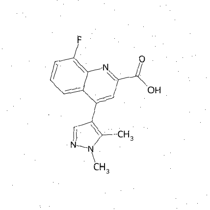 Cc1c(-c2cc(C(=O)O)nc3c(F)cccc23)cnn1C